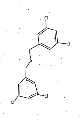 Clc1cc(Cl)cc(CSCc2cc(Cl)cc(Cl)c2)c1